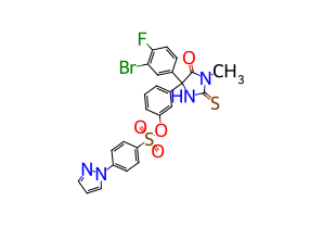 CN1C(=O)C(c2cccc(OS(=O)(=O)c3ccc(-n4cccn4)cc3)c2)(c2ccc(F)c(Br)c2)NC1=S